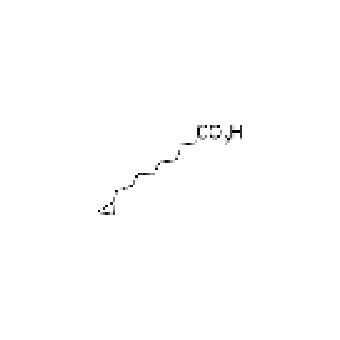 O=C(O)CCCCCCCCC1CC1